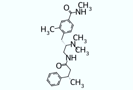 CNC(=O)c1ccc(C[C@@H](CNC(=O)C[C@H](C)c2ccccc2)N(C)C)c(C)c1